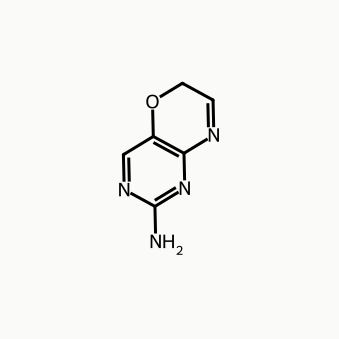 Nc1ncc2c(n1)N=CCO2